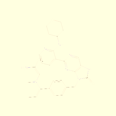 C/C=C(/c1ccc(Cn2c(=O)[nH]c3cnc(-c4cccnc4NC4CCOCC4)nc32)cc1)N(C)/C=C(\N)C(F)(F)F